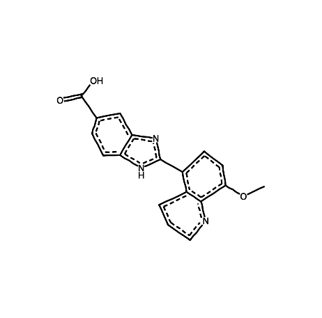 COc1ccc(-c2nc3cc(C(=O)O)ccc3[nH]2)c2cccnc12